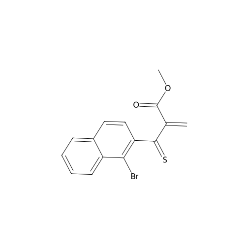 C=C(C(=O)OC)C(=S)c1ccc2ccccc2c1Br